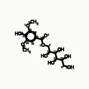 COc1cc(C(=O)OCC(O)C(O)C(O)C(O)CO)cc(OC)c1O